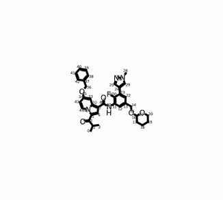 CC(C)C(=O)c1cc(C(=O)Nc2cc(COC3CCCCO3)cc(-c3cnn(C)c3)c2F)c2cc(OCc3ccccc3)ccn12